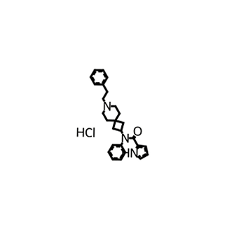 Cl.O=C(c1ccc[nH]1)N(c1ccccc1)C1CC2(CCN(CCc3ccccc3)CC2)C1